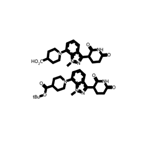 Cn1nc(C2CCC(=O)NC2=O)c2cccc(N3CCC(C(=O)O)CC3)c21.Cn1nc(C2CCC(=O)NC2=O)c2cccc(N3CCC(C(=O)OC(C)(C)C)CC3)c21